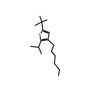 CCCCCCc1cc(C(C)(C)C)sc1C(C)C